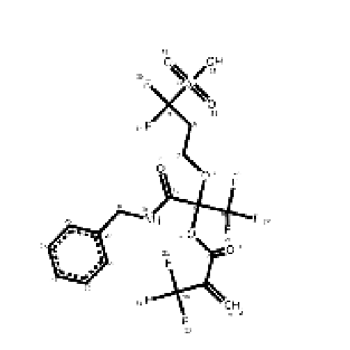 C=C(C(=O)OC(OCCC(F)(F)S(=O)(=O)O)(C(=O)NCc1ccccc1)C(F)(F)F)C(F)(F)F